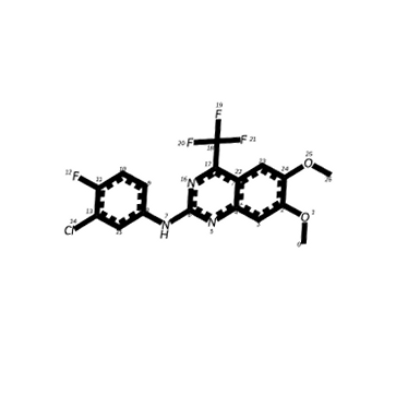 COc1cc2nc(Nc3ccc(F)c(Cl)c3)nc(C(F)(F)F)c2cc1OC